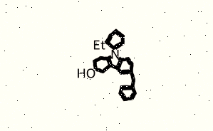 CCc1ccccc1-n1c2c(c3cc(Cc4ccccc4)ccc31)CC(O)CC2